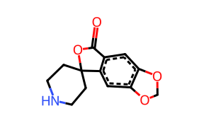 O=C1OC2(CCNCC2)c2cc3c(cc21)OCO3